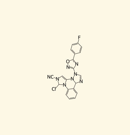 N#CN1C=C2N(c3ccccc3C3N=CN(c4noc(-c5ccc(F)cc5)n4)N23)C1Cl